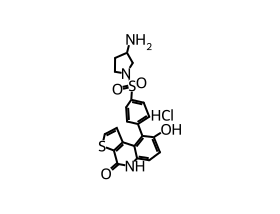 Cl.NC1CCN(S(=O)(=O)c2ccc(-c3c(O)ccc4[nH]c(=O)c5sccc5c34)cc2)C1